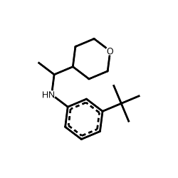 CC(Nc1cccc(C(C)(C)C)c1)C1CCOCC1